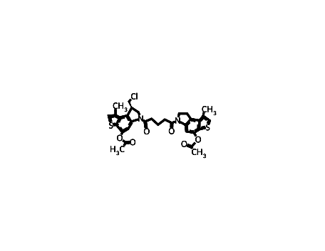 CC(=O)Oc1cc2c(c3c(C)csc13)CCN2C(=O)CCCC(=O)N1C[C@H](CCl)c2c1cc(OC(C)=O)c1scc(C)c21